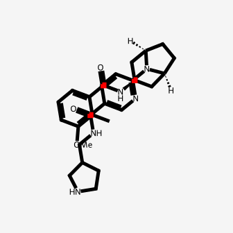 COc1cccc(C(=O)N[C@H]2C[C@H]3CC[C@@H](C2)N3c2ccc(C(=O)NCC3CCNC3)cn2)c1C